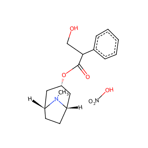 CN1[C@@H]2CC[C@H]1C[C@@H](OC(=O)C(CO)c1ccccc1)C2.O=[N+]([O-])O